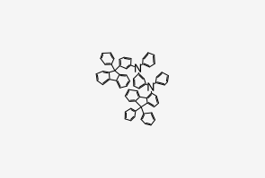 c1ccc(N(c2cccc(N(c3ccccc3)c3cccc4c3-c3ccccc3C4(c3ccccc3)c3ccccc3)c2)c2cccc(C3(c4ccccc4)c4ccccc4-c4ccccc43)c2)cc1